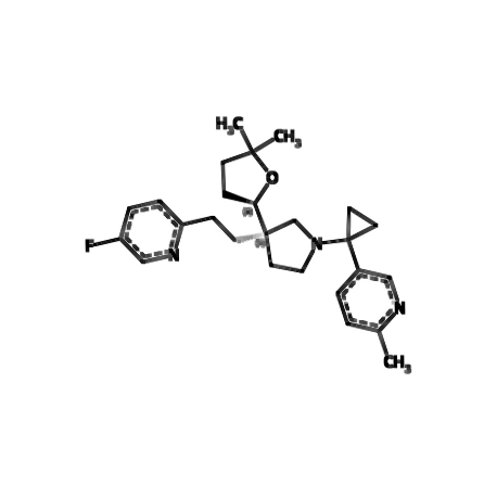 Cc1ccc(C2(N3CC[C@@](CCc4ccc(F)cn4)([C@H]4CCC(C)(C)O4)C3)CC2)cn1